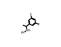 CC(C)NC(C)c1cc(F)cc(F)c1